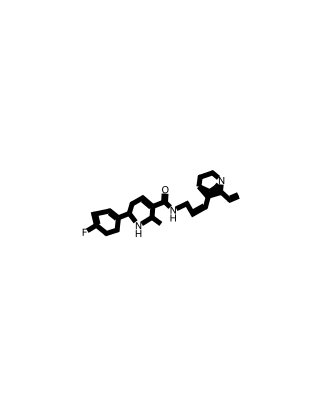 C=CC1=C(/C=C\CNC(=O)C2=CCC(C3=CC=C(F)CC3)NC2C)C2CCN1CC2